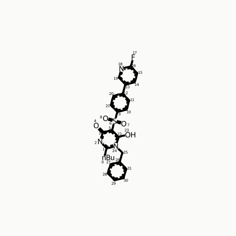 CCCCc1nc(=O)c(S(=O)(=O)c2ccc(-c3ccc(F)nc3)cc2)c(O)n1Cc1ccccc1